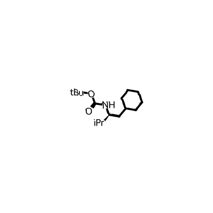 CC(C)[C@H](CC1CCCCC1)NC(=O)OC(C)(C)C